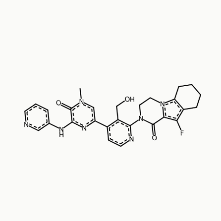 Cn1cc(-c2ccnc(N3CCn4c5c(c(F)c4C3=O)CCCC5)c2CO)nc(Nc2cccnc2)c1=O